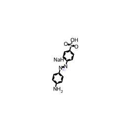 Nc1ccc(/N=N/c2ccc(S(=O)(=O)O)cc2)cc1.[NaH]